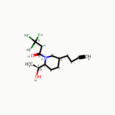 C#CCCC1CCC([C@H](C)O)N(C(=O)CC(F)(F)F)C1